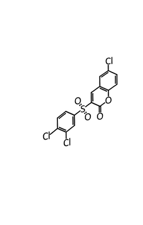 O=c1oc2ccc(Cl)cc2cc1S(=O)(=O)c1ccc(Cl)c(Cl)c1